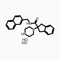 Cl.Cl.O=C(NCc1ccc2ccccc2c1)C1(N2CCNCC2)Cc2ccccc2C1